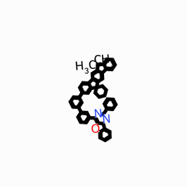 CC1(C)c2ccccc2-c2cc3c(cc21)-c1ccc(-c2cccc(-c4cccc(-c5nc(-c6ccccc6)nc6c5oc5ccccc56)c4)c2)cc1C31CCCCC1